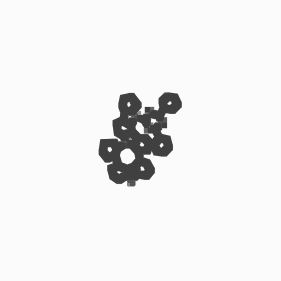 c1ccc(-c2nc(-c3ccccc3)nc(-n3c4ccccc4c4ccc5c(c6cccc7c8cccc9sc%10cccc(c%11ccccc%11n5c76)c%10c98)c43)n2)cc1